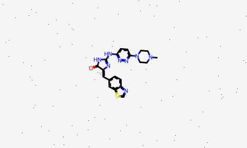 CN1CCN(c2ccc(NC3=N/C(=C\c4ccc5ncsc5c4)C(=O)N3)nn2)CC1